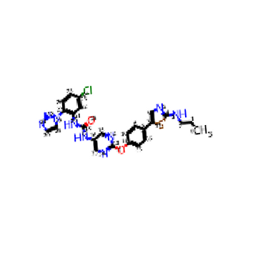 CCCNc1ncc(-c2ccc(Oc3ncc(NC(=O)Nc4cc(Cl)ccc4-n4ccnn4)cn3)cc2)s1